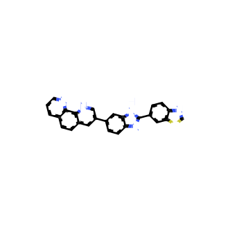 c1cnc2c(c1)ccc1cc(-c3ccc4nc(-c5ccc6ncsc6c5)[nH]c4c3)cnc12